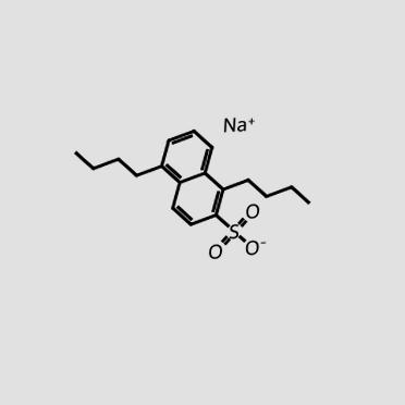 CCCCc1cccc2c(CCCC)c(S(=O)(=O)[O-])ccc12.[Na+]